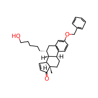 C[C@]12CC[C@@H]3c4ccc(OCc5ccccc5)cc4C[C@@H](CCCCCO)[C@H]3[C@@H]1C=CC2=O